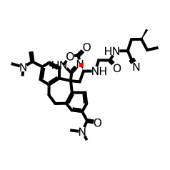 C=C(c1ccc2c(c1)CCc1cc(C(=O)N(C)C)ccc1C2(C[C@H](C)NCC(=O)NC(C#N)C[C@@H](C)CC)c1nc(=O)o[nH]1)N(C)C